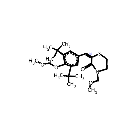 COCOc1c(C(C)(C)C)cc(/C=C2/SCCN(COC)C2=O)cc1C(C)(C)C